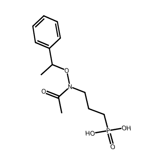 CC(=O)N(CCCP(=O)(O)O)OC(C)c1ccccc1